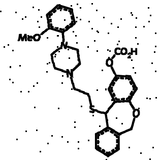 COc1ccccc1N1CCN(CCSC2c3ccccc3COc3ccc(OC(=O)O)cc32)CC1